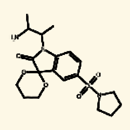 CC(N)C(C)N1C(=O)C2(OCCCO2)c2cc(S(=O)(=O)N3CCCC3)ccc21